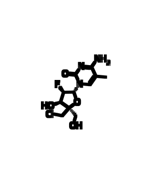 Cc1cn([C@@H]2O[C@@](CO)(CCl)[C@@H](O)[C@H]2F)c(=O)nc1N